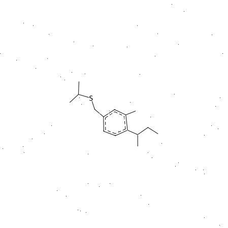 CCC(C)c1ccc(CSC(C)C)cc1C